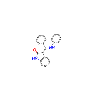 O=C1Nc2ccccc2C1=C(Nc1ccccc1)c1ccccc1